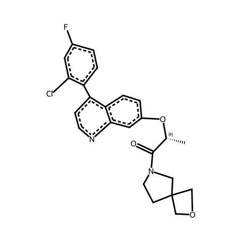 C[C@@H](Oc1ccc2c(-c3ccc(F)cc3Cl)ccnc2c1)C(=O)N1CCC2(COC2)C1